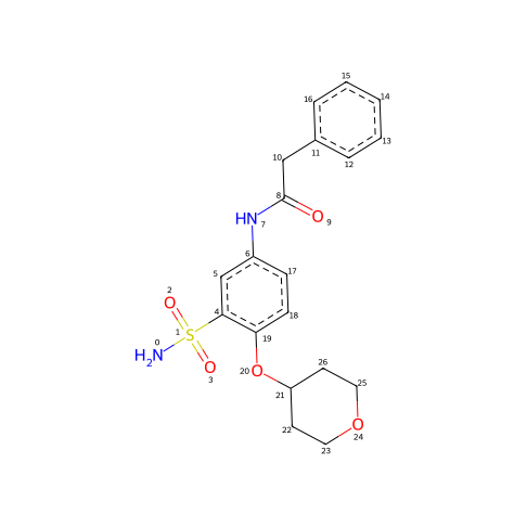 NS(=O)(=O)c1cc(NC(=O)Cc2ccccc2)ccc1OC1CCOCC1